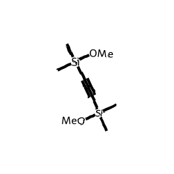 CO[Si](C)(C)C#C[Si](C)(C)OC